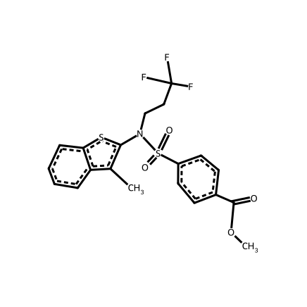 COC(=O)c1ccc(S(=O)(=O)N(CCC(F)(F)F)c2sc3ccccc3c2C)cc1